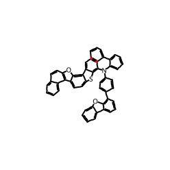 c1ccc(-c2ccccc2N(c2ccc(-c3cccc4c3oc3ccccc34)cc2)c2cccc3c2sc2ccc4c(oc5ccc6ccccc6c54)c23)cc1